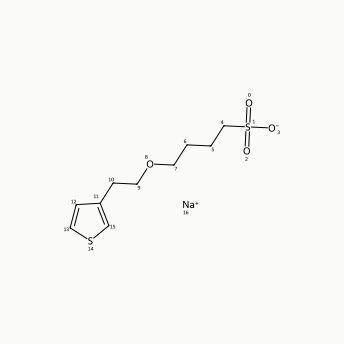 O=S(=O)([O-])CCCCOCCc1ccsc1.[Na+]